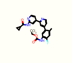 Cc1cc(F)c(NC(=O)OCC(Cl)(Cl)Cl)cc1-c1ccnc(-c2ccnc(NC(=O)C3CC3)c2)c1